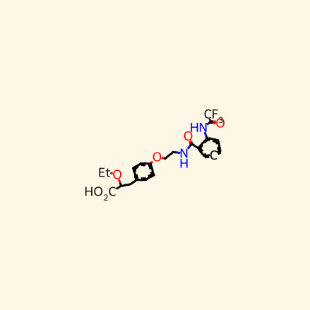 CCOC(Cc1ccc(OCCNC(=O)c2ccccc2NC(=O)C(F)(F)F)cc1)C(=O)O